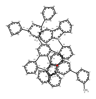 Cc1cccc(-c2ccc3c(c2)c2ccccc2n3-c2c(-c3ccccc3-n3c4ccccc4c4ccccc43)cc(-c3nc(-c4ccccc4)nc(-c4ccccc4)n3)cc2-c2ccccc2-n2c3ccccc3c3ccccc32)c1